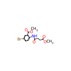 COC(=O)CCC(=O)Nc1ccc(Br)cc1C(=O)OC